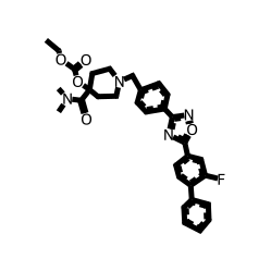 CCOC(=O)OC1(C(=O)N(C)C)CCN(Cc2ccc(-c3noc(-c4ccc(-c5ccccc5)c(F)c4)n3)cc2)CC1